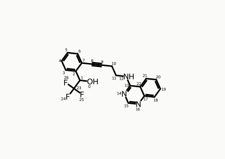 OC(c1ccccc1C#CCCNc1ncnc2ccccc12)C(F)(F)F